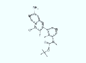 Cc1c(-c2cc3cc(N)ncc3c(Cl)c2F)cncc1N(C)C(=O)OC(C)(C)C